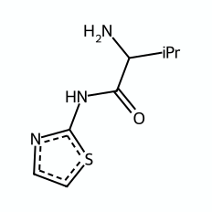 CC(C)C(N)C(=O)Nc1nccs1